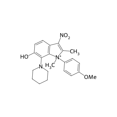 COc1ccc([N+]2(C)C(C)=C([N+](=O)[O-])c3ccc(O)c(N4CCCCC4)c32)cc1